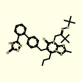 CCCc1c(Cc2ccc(-c3ccccc3-c3noc(=O)[nH]3)cc2)c(=O)n(C/C(=N/OC(C)(C)C)C(C)(C)C)c2nc(C)nn12